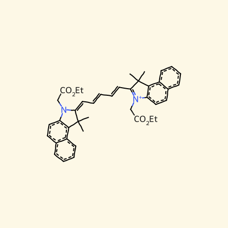 CCOC(=O)CN1/C(=C/C=C/C=C/C2=[N+](CC(=O)OCC)c3ccc4ccccc4c3C2(C)C)C(C)(C)c2c1ccc1ccccc21